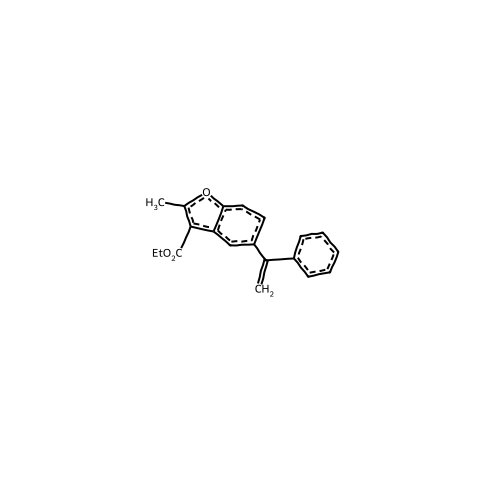 C=C(c1ccccc1)c1ccc2oc(C)c(C(=O)OCC)c2c1